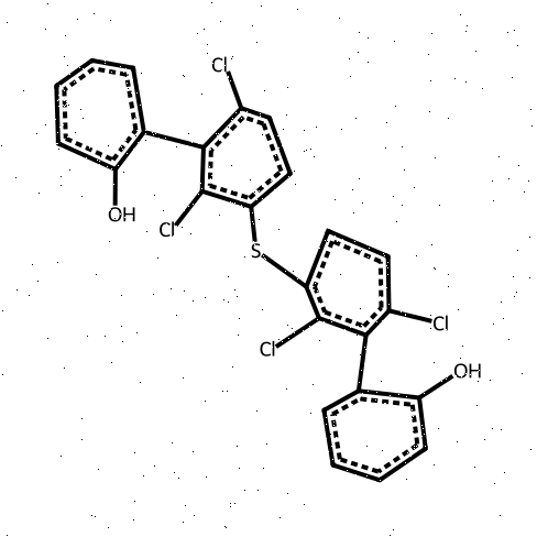 Oc1ccccc1-c1c(Cl)ccc(Sc2ccc(Cl)c(-c3ccccc3O)c2Cl)c1Cl